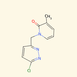 Cc1cccn(Cc2ccc(Cl)nn2)c1=O